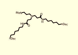 CCCCCCCCCCCCCCCCNC(=O)CCN(CCCNC)CCC(=O)NCCCCCCCCCCCCCCCC